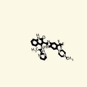 CC(Nc1c(-c2nc3cc(C(F)(F)F)c(N4CCN(C)CC4)cc3[nH]2)c(=O)[nH]c2ccccc12)c1ncccn1